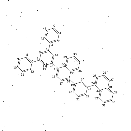 c1ccc(-c2cc(-c3ccccc3)nc(-c3ccc(-c4cccc(-c5cccc6ccccc56)c4)c4ccccc34)c2)cc1